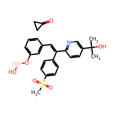 CC(C)(O)c1ccc(/C(=C/c2cccc(OBO)c2)c2ccc(S(C)(=O)=O)cc2)nc1.O=C1CC1